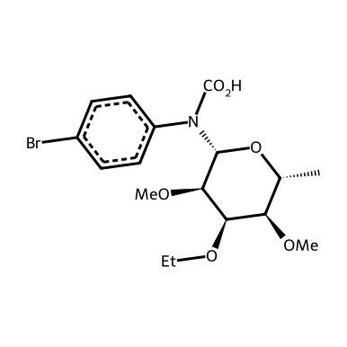 CCO[C@H]1[C@@H](OC)[C@H](N(C(=O)O)c2ccc(Br)cc2)O[C@H](C)[C@H]1OC